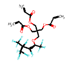 C=CC(=O)OCC(COC(=O)C=C)(COC(=O)C=C)CO/C(=C(/F)C(F)(C(F)(F)F)C(F)(F)F)C(F)(F)F